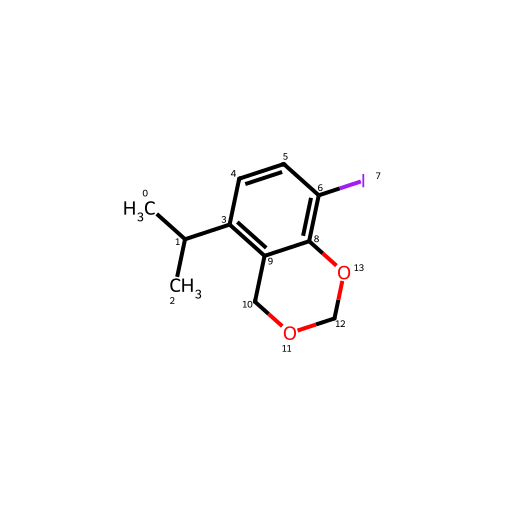 CC(C)c1ccc(I)c2c1COCO2